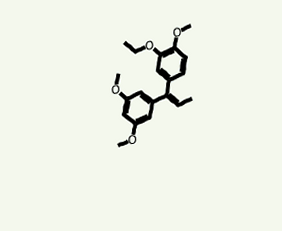 CC=C(c1cc(OC)cc(OC)c1)c1ccc(OC)c(OCC)c1